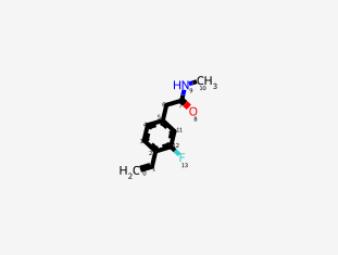 C=Cc1ccc(CC(=O)NC)cc1F